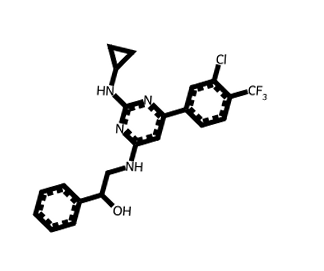 OC(CNc1cc(-c2ccc(C(F)(F)F)c(Cl)c2)nc(NC2CC2)n1)c1ccccc1